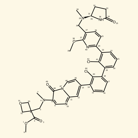 COC(=O)C1(CN(C)c2cnc3cc(-c4cccc(-c5cccc(-c6ccc(CN(C)[C@H]7CCC(=O)N7)c(OC)n6)c5Cl)c4Cl)ccn3c2=O)COC1